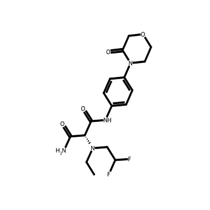 CCN(CC(F)F)[C@H](C(N)=O)C(=O)Nc1ccc(N2CCOCC2=O)cc1